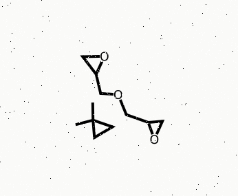 C(OCC1CO1)C1CO1.CC1(C)CC1